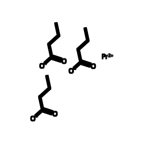 CCCC(=O)[O-].CCCC(=O)[O-].CCCC(=O)[O-].[Pr+3]